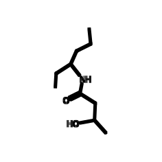 CCCC(CC)NC(=O)CC(C)O